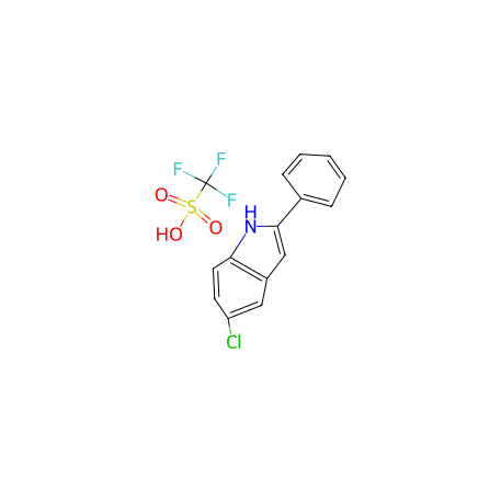 Clc1ccc2[nH]c(-c3ccccc3)cc2c1.O=S(=O)(O)C(F)(F)F